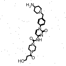 NC1CCN(Cc2ccc(-n3ccc(NC(=O)N4CCN(C(=O)CCO)CC4)nc3=O)cc2)CC1